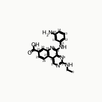 CCNc1ncc2c(n1)c(Nc1cccc(N)c1)nc1cc(C(=O)O)ccc12